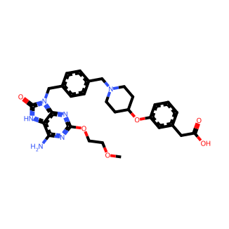 COCCOc1nc(N)c2[nH]c(=O)n(Cc3ccc(CN4CCC(Oc5cccc(CC(=O)O)c5)CC4)cc3)c2n1